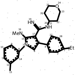 CCc1ccc(-c2cn(-c3cccc(C)c3)c(NC)c2C(=N)NC2CCOCC2)cc1